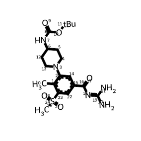 Cc1c(N2CCC(NC(=O)OC(C)(C)C)CC2)cc(C(=O)N=C(N)N)cc1S(C)(=O)=O